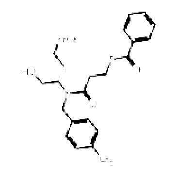 CSCC[C@@H](CO)N(Cc1ccc(C(F)(F)F)cc1)C(=O)CCSC(=O)c1ccccc1